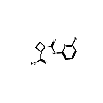 O=C(Nc1cccc(Br)n1)[C@@H]1CCN1C(=O)O